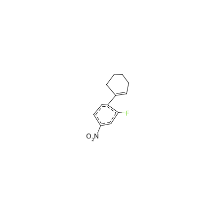 O=[N+]([O-])c1ccc(C2=CCCCC2)c(F)c1